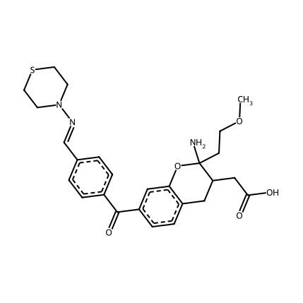 COCCC1(N)Oc2cc(C(=O)c3ccc(C=NN4CCSCC4)cc3)ccc2CC1CC(=O)O